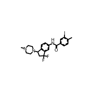 Cc1ccc(C(=O)Nc2ccc3c(c2)C(F)(F)CC3N2CCN(C)CC2)cc1I